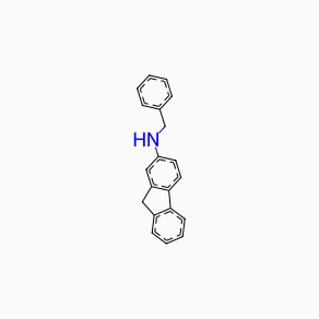 c1ccc(CNc2ccc3c(c2)Cc2ccccc2-3)cc1